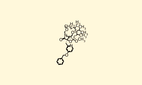 COCO[C@@]1(Cc2cc(OCc3ccccc3)ccn2)C(=O)N(COC)[C@H]1CO[Si](C(C)C)(C(C)C)C(C)C